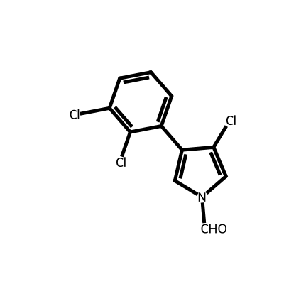 O=Cn1cc(Cl)c(-c2cccc(Cl)c2Cl)c1